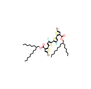 CCCCCCCCC(CCCCCC)COC(=O)c1cc(Br)sc1-c1cc(F)c(-c2sc(-c3sc(Br)cc3C(=O)OCC(CCCCCC)CCCCCCCC)cc2F)s1